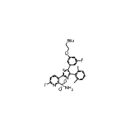 Cc1cccc(C)c1-c1nc(-c2ccc(F)nc2S(N)(=O)=O)sc1-c1cc(F)cc(OCCC(C)(C)C)c1